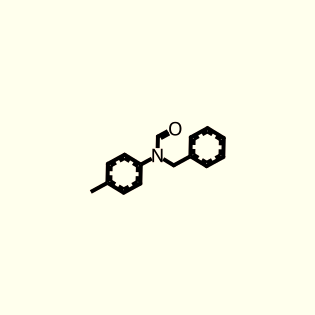 Cc1ccc(N(C=O)Cc2ccccc2)cc1